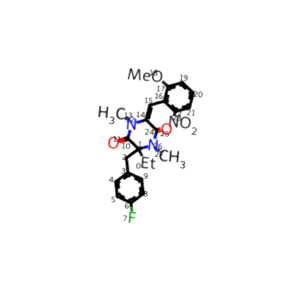 CCC1(Cc2ccc(F)cc2)C(=O)N(C)/C(=C/c2c(OC)cccc2[N+](=O)[O-])C(=O)N1C